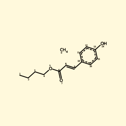 C.CCCCOC(=O)/C=C/c1ccc(O)cc1